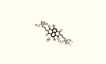 C[N+](C)(C)CCCN1C(=O)c2cc(Br)c3c4c(cc(Br)c(c24)C1=O)C(=O)N(CCC[N+](C)(C)C)C3=O.[Cl-].[Cl-]